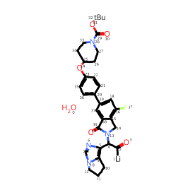 O.[Li][C](=O)C(c1ncn2c1CCC2)N1Cc2c(F)cc(-c3ccc(OC4CCN(C(=O)OC(C)(C)C)CC4)cc3)cc2C1=O